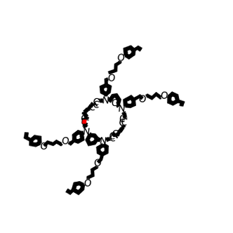 C=Cc1ccc(OCCCCOCc2ccc(-n3c4ccc(cc4)c4ccc(cc4)n(-c4ccc(COCCCCOc5ccc(C=C)cc5)cc4)c4cccc(c4)n(-c4ccc(COCCCCOc5ccc(C=C)cc5)cc4)c4ccc(cc4)c4ccc(cc4)n(-c4ccc(COCCCCOc5ccc(C=C)cc5)cc4)c4cccc3c4)cc2)cc1